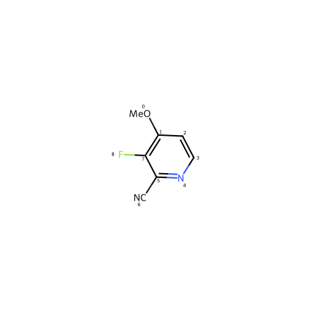 COc1ccnc(C#N)c1F